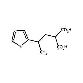 CC(CC(C(=O)O)C(=O)O)c1cccs1